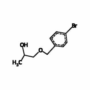 CC(O)COCc1ccc(Br)cc1